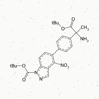 CC(C)(C)OC(=O)n1ncc2c([N+](=O)[O-])c(-c3ccc(C(C)(N)C(=O)OC(C)(C)C)cc3)ccc21